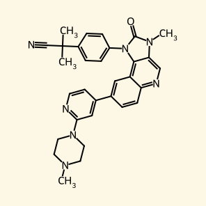 CN1CCN(c2cc(-c3ccc4ncc5c(c4c3)n(-c3ccc(C(C)(C)C#N)cc3)c(=O)n5C)ccn2)CC1